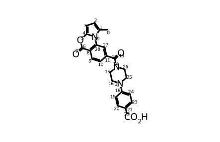 Cc1ccc2oc(=O)c3ccc(C(=O)N4CCN(c5ccc(C(=O)O)cc5)CC4)cc3n12